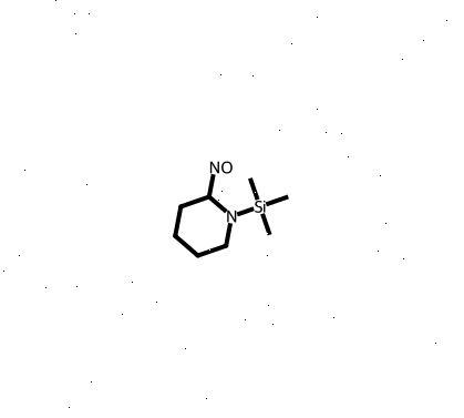 C[Si](C)(C)N1CCCCC1N=O